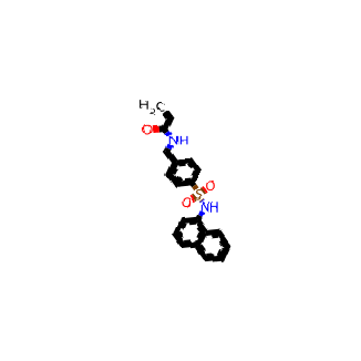 C=CC(=O)NCc1ccc(S(=O)(=O)Nc2cccc3ccccc23)cc1